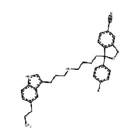 CCCc1ccc2[nH]cc(CCCNCCCCC3(c4ccc(F)cc4)OCc4cc(C#N)ccc43)c2c1